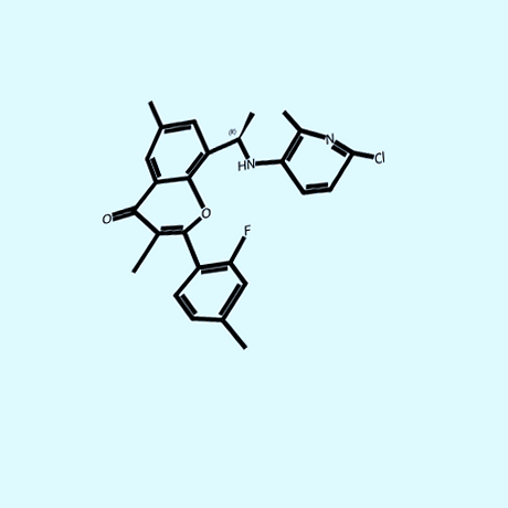 Cc1ccc(-c2oc3c([C@@H](C)Nc4ccc(Cl)nc4C)cc(C)cc3c(=O)c2C)c(F)c1